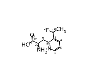 CC(F)c1cccnc1CC(N)C(=O)O